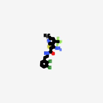 Cc1cc(C(F)(F)F)c2c(N)c(C(=O)NCCc3cccc(Cl)c3Cl)sc2n1